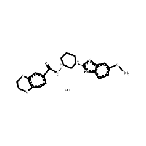 COc1ccc2[nH]c([C@H]3CCC[C@@H](NC(=O)c4ccc5c(c4)OCCO5)C3)nc2c1.Cl